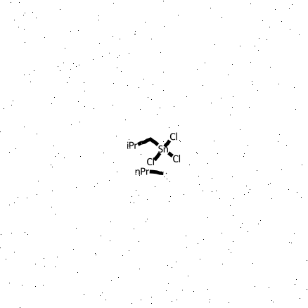 CC(C)[CH2][Sn]([Cl])([Cl])[Cl].[CH2]CCC